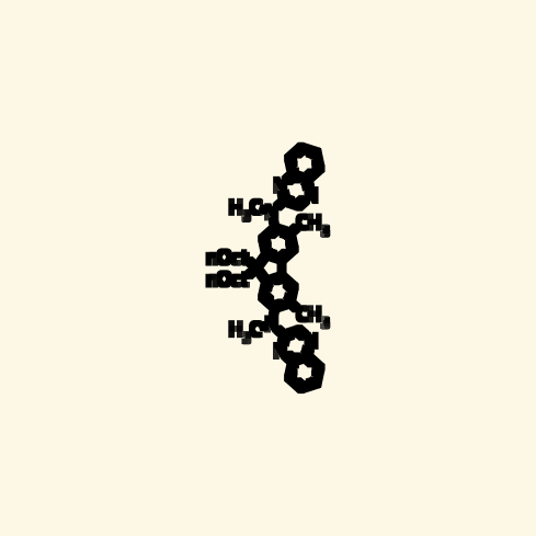 CCCCCCCCC1(CCCCCCCC)c2cc(N(C)c3cnc4ccccc4n3)c(C)cc2-c2cc(C)c(N(C)c3cnc4ccccc4n3)cc21